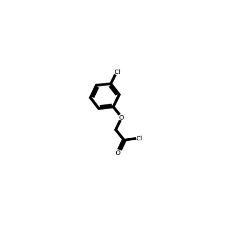 O=C(Cl)COc1cccc(Cl)c1